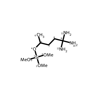 CO[Si](OC)(OC)OC(C)CCC(N)(N)N